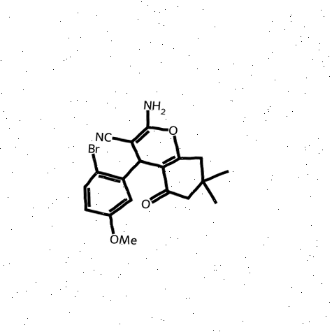 COc1ccc(Br)c(C2C(C#N)=C(N)OC3=C2C(=O)CC(C)(C)C3)c1